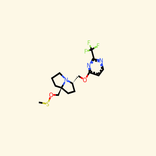 CSOC[C@@]12CCCN1[C@H](COc1ccnc(C(F)(F)F)n1)CC2